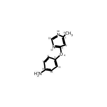 Cc1cc(Oc2ccc(N)cc2)ncn1